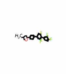 CCC1CCC(c2ccc(-c3cc(F)c(-c4ccc(F)c(F)c4)c(F)c3)cc2)OC1